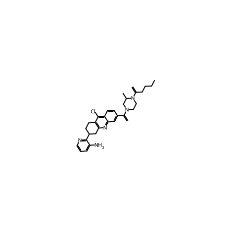 C=C(c1ccc2c(Cl)c3c(nc2c1)CC(c1ncccc1N)CC3)N1CCN(C(=C)CCCC)C(C)C1